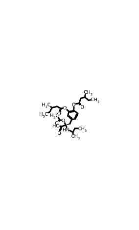 CCC(C)CC(=O)Oc1ccc(C[C@](NC(C)CC)(OC(C)=O)C(=O)O)cc1OC(=O)CC(C)CC